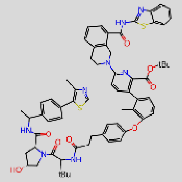 Cc1ncsc1-c1ccc(C(C)NC(=O)[C@@H]2C[C@@H](O)CN2C(=O)C(NC(=O)CCc2ccc(Oc3cccc(-c4ccc(N5CCc6cccc(C(=O)Nc7nc8ccccc8s7)c6C5)nc4C(=O)OC(C)(C)C)c3C)cc2)C(C)(C)C)cc1